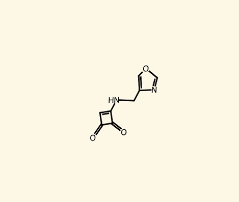 O=c1cc(NCc2cocn2)c1=O